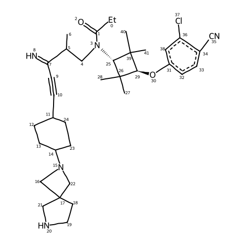 CCC(=O)N(CC(C)C(=N)C#CC1CCC(N2CC3(CCNC3)C2)CC1)[C@H]1C(C)(C)[C@H](Oc2ccc(C#N)c(Cl)c2)C1(C)C